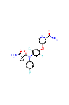 NC(=O)c1cc(Oc2cc(F)c(N(C(=O)C3(C(N)=O)CC3)c3ccc(F)cc3)cc2F)ccn1